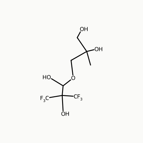 CC(O)(CO)COC(O)C(O)(C(F)(F)F)C(F)(F)F